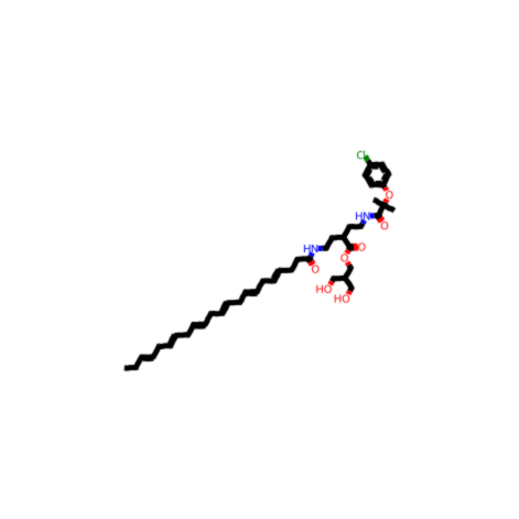 CCC=CCC=CCC=CCC=CCC=CCC=CCCC(=O)NCCC(CCNC(=O)C(C)(C)Oc1ccc(Cl)cc1)C(=O)OCC(CO)CO